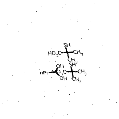 CC(C)(S)C(=O)O.CC(C)(S)C(=O)O.CCCC(O)O